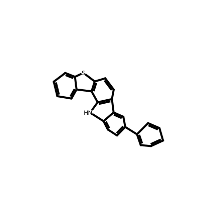 c1ccc(-c2ccc3[nH]c4c(ccc5sc6ccccc6c54)c3c2)cc1